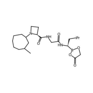 CC(C)C[C@H](NC(=O)CNC(=O)[C@@H]1CCN1C1CCCCCC(C)C1)B1OCC(=O)O1